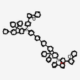 c1ccc(-c2ccc3c(c2)C(c2ccccc2)(c2ccccc2)c2cc(N(c4ccc(-c5ccc(-c6ccc(-c7ccc8c(c7)C(c7ccccc7)(c7ccccc7)c7cc(N(c9ccc(-c%10cccc%11c%10oc%10ccccc%10%11)cc9)c9ccccc9-c9ccccc9)ccc7-8)cc6)cc5)cc4)c4ccc(-c5cccc6c5oc5ccccc56)cc4)ccc2-3)cc1